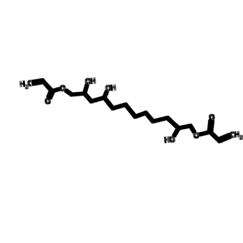 C=CC(=O)OCC(O)CCCCCCC(O)CC(O)COC(=O)C=C